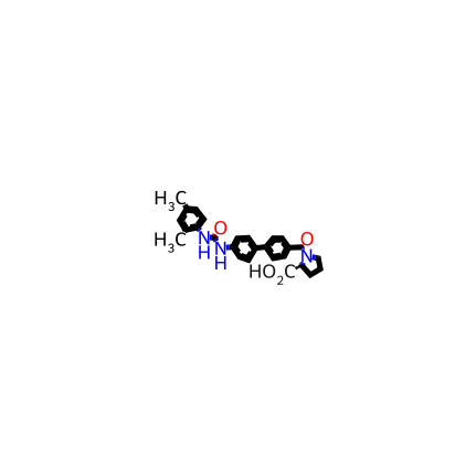 Cc1ccc(NC(=O)Nc2ccc(-c3ccc(C(=O)N4CCC[C@H]4C(=O)O)cc3)cc2)c(C)c1